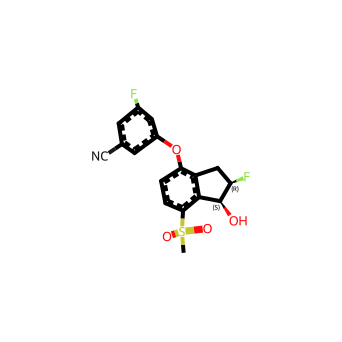 CS(=O)(=O)c1ccc(Oc2cc(F)cc(C#N)c2)c2c1[C@H](O)[C@H](F)C2